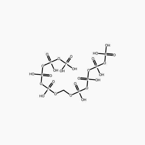 O=P(O)(O)OP(=O)(O)OP(=O)(O)OP(=O)(O)OCOP(=O)(O)OP(=O)(O)OP(=O)(O)OP(=O)(O)O